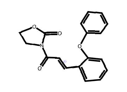 O=C(/C=C/c1ccccc1Oc1ccccc1)N1CCOC1=O